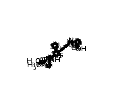 CC(C)(C)OC(=O)N1CCC[C@H]1c1ncc(-c2cc(F)c(C#CC#Cc3cnc([C@@H]4CCCN4C(=O)O)[nH]3)c(-c3ccccc3)c2)[nH]1